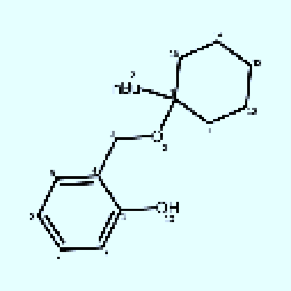 CCCCC1(OCc2ccccc2O)CCCCC1